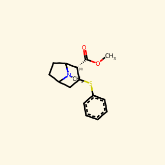 COC(=O)[C@@H]1C(Sc2ccccc2)CC2CCC1N2C